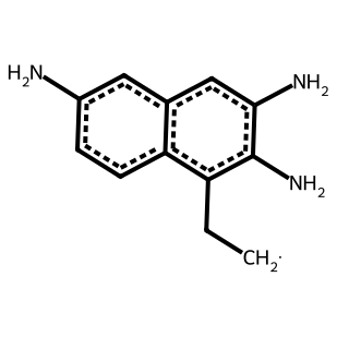 [CH2]Cc1c(N)c(N)cc2cc(N)ccc12